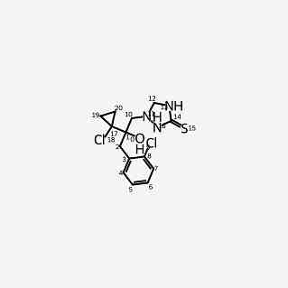 OC(Cc1ccccc1Cl)(CN1CNC(=S)N1)C1(Cl)CC1